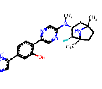 CN(c1cnc(-c2ccc(-c3cnn[nH]3)cc2O)cn1)[C@H]1C[C@]2(C)CC[C@@](C)(N2)[C@H]1F